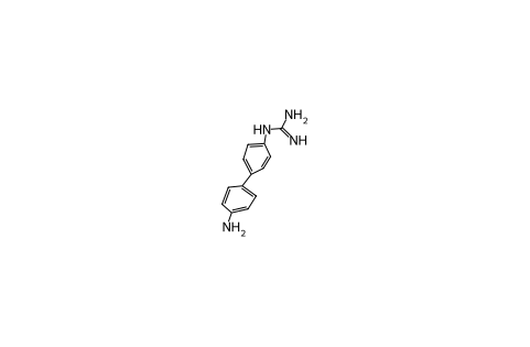 N=C(N)Nc1ccc(-c2ccc(N)cc2)cc1